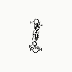 FC(F)(F)C1(c2ccc(C(F)(F)C(F)(F)C(F)(F)C(F)(F)c3ccc(C4(C(F)(F)F)CCCCNN4)cc3)cc2)CCCCNN1